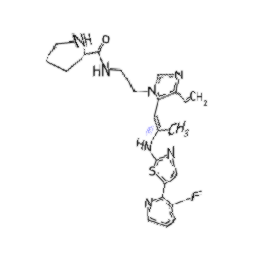 C=Cc1ncn(CCNC(=O)C2CCCN2)c1/C=C(\C)Nc1ncc(-c2ncccc2F)s1